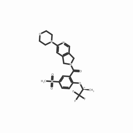 C[C@H](Oc1ccc(S(C)(=O)=O)cc1C(=O)N1Cc2cnc(N3CCOCC3)cc2C1)C(F)(F)F